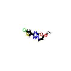 CC(C)OC(=O)/C=C\n1cnc(-c2csc(Cl)c2)n1